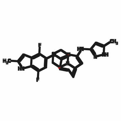 Cc1cc(NC2=C/C(N3CCSCC3)=C/C=C/C(Oc3cc(F)c4[nH]c(C)cc4c3F)=N\2)n[nH]1